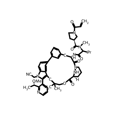 C=CC(=O)N1CC[C@H](C(=O)N(C)C(C(=O)N[C@H]2Cc3cccc(c3)-c3ccc4c(c3)c(c(-c3cccnc3[C@H](C)OC)n4CC#N)CC(C)(C)COC(=O)[C@@H]3CCCN(N3)C2=O)C(C)C)C1